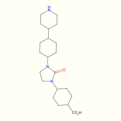 O=C(O)C1CCC(N2CCN(C3CCC(C4CCNCC4)CC3)C2=O)CC1